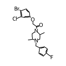 CC1CN(C(=O)COc2ccc(Br)c(Cl)c2)C(C)CN1Cc1ccc(F)cc1